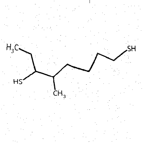 CCC(S)C(C)CCCCS